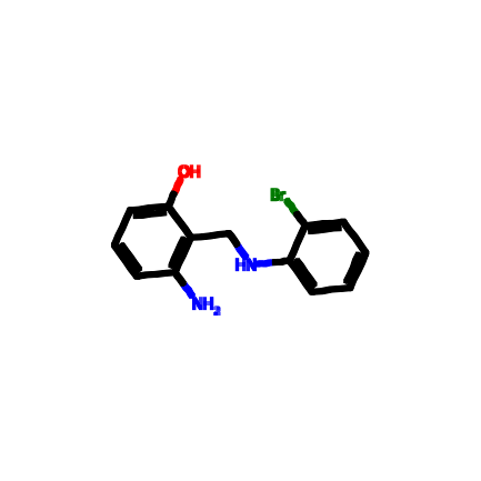 Nc1cccc(O)c1CNc1ccccc1Br